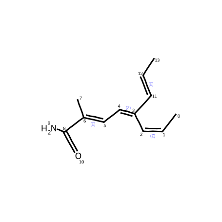 C\C=C/C(=C\C=C(/C)C(N)=O)/C=C/C